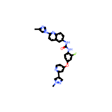 Cc1cn(-c2ccc3cc(NC(=O)Nc4ccc(Oc5ccnc(-c6cnn(C)c6)c5)cc4F)ccc3n2)cn1